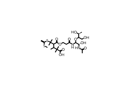 C=C(SC)SC(C)(C)C(C(=O)OCCC(=O)NC(OC(CO)[C@H](C)O)[C@H](O)NC(C)=O)C(C)C(C)(C)C(=O)O